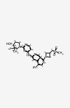 CC(C)c1cnc(N2CC(CS(C)(=O)=O)C2)c2cnc(Nc3ccnc(N4CC[C@@H](O)[C@@](C)(F)C4)n3)cc12